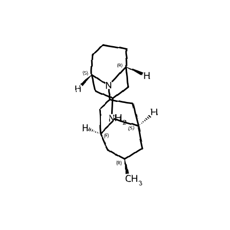 C[C@H]1C[C@H]2CC(N3[C@@H]4CCC[C@H]3CC(N)C4)C[C@@H](C1)C2